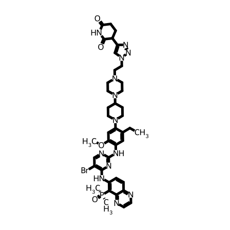 CCc1cc(Nc2ncc(Br)c(Nc3ccc4nccnc4c3P(C)(C)=O)n2)c(OC)cc1N1CCC(N2CCN(CCn3cc(C4CCC(=O)NC4=O)nn3)CC2)CC1